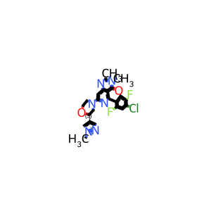 Cc1nc2cc(N3CCO[C@@H](c4cnn(C)c4)C3)nc(-c3cc(F)c(Cl)cc3F)c2c(=O)n1C